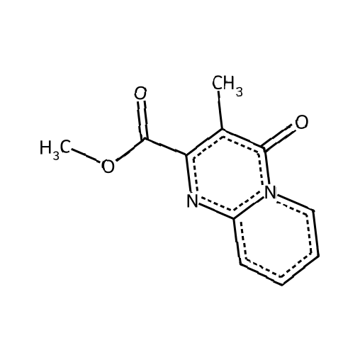 COC(=O)c1nc2ccccn2c(=O)c1C